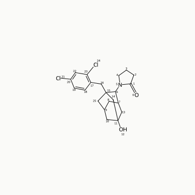 O=C1CCCN1C1C2CC3CC(O)(C2)CC1(Cc1ccc(Cl)cc1Cl)C3